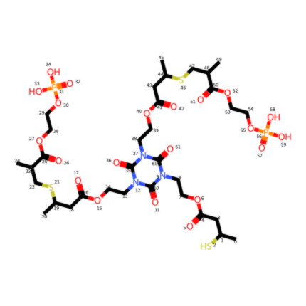 CC(S)CC(=O)OCCn1c(=O)n(CCOC(=O)CC(C)SCC(C)C(=O)OCCOP(=O)(O)O)c(=O)n(CCOC(=O)CC(C)SCC(C)C(=O)OCCOP(=O)(O)O)c1=O